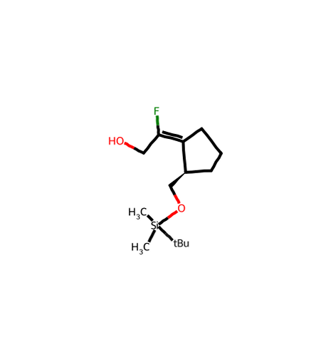 CC(C)(C)[Si](C)(C)OC[C@@H]1CCC/C1=C(\F)CO